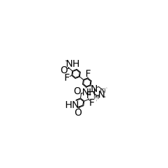 CNC(=O)c1ccc(-c2cc(NC(=O)c3c[nH]c(=O)cc3C(F)F)c(N3C[C@@H](C)N(C)[C@@H](C)C3)cc2F)cc1F